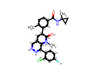 Cc1ccc(C(=O)NC2(C)CC2)cc1-c1cc2cnnc(-c3ccc(F)cc3Cl)c2n(C)c1=O